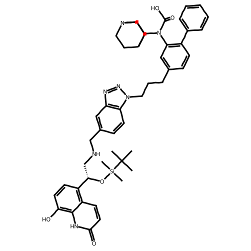 CC(C)(C)[Si](C)(C)O[C@@H](CNCc1ccc2c(c1)nnn2CCCc1ccc(-c2ccccc2)c(N(C(=O)O)C2CN3CCC2CC3)c1)c1ccc(O)c2[nH]c(=O)ccc12